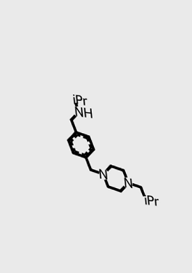 CC(C)CN1CCN(Cc2ccc(CNC(C)C)cc2)CC1